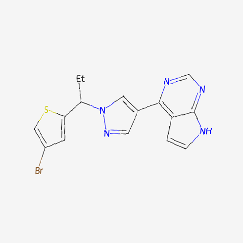 CCC(c1cc(Br)cs1)n1cc(-c2ncnc3[nH]ccc23)cn1